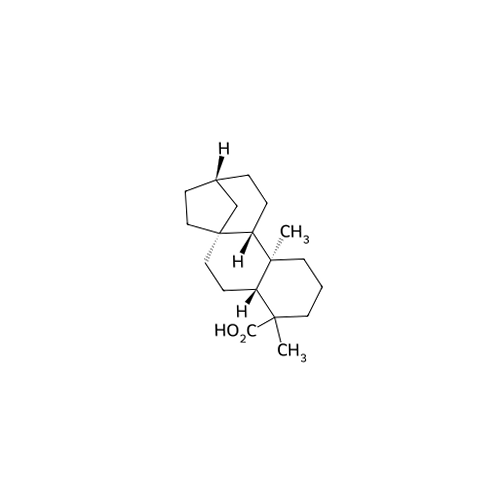 CC1(C(=O)O)CCC[C@@]2(C)[C@H]1CC[C@@]13CC[C@H](CC[C@@H]12)C3